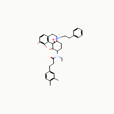 Cc1ccc(CCC(=O)N(CC(C)C)C2CC[C@@]3(O)[C@H]4Cc5ccc(O)c6c5[C@@]3(CCN4CCc3ccccc3)C2O6)cc1C